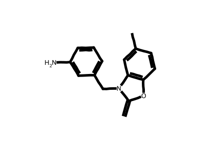 C=C1Oc2ccc(C)cc2N1Cc1cccc(N)c1